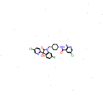 Cc1ncc(Cl)cc1C(=O)N[C@H]1CC[C@H](CN2C(=O)C(O)(c3ccc(Cl)cn3)c3ccc(F)cc32)CC1